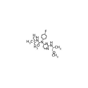 COCC(C)Nc1nccc(N(C(=O)NC(C)(C)C)c2ccc(F)cc2)n1